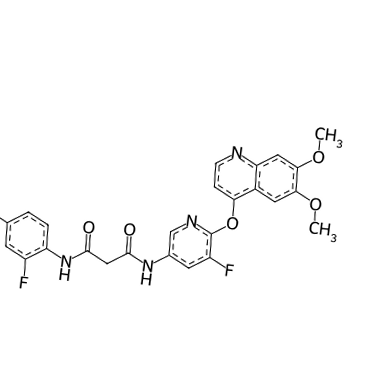 COc1cc2nccc(Oc3ncc(NC(=O)CC(=O)Nc4ccc(F)cc4F)cc3F)c2cc1OC